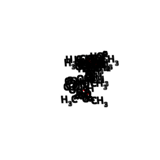 CC[C@@H](C)C([C@@H](CC(=O)N1CCC[C@@H]1[C@H](OC)[C@@H](C)C(=O)N[C@H](C)[C@@H](O)c1ccccc1)OC)N(C)C(=O)[C@@H](NC(=O)[C@@H](C(C)C)N(C)C(=O)OCc1ccc(NC(=O)[C@H](CCCNC(N)=O)NC(=O)[C@H](NC(=O)CC[C@@H](NC(=O)c2ccc(C(=O)C(CS(=O)(=O)c3ccc(C)cc3)CS(=O)(=O)c3ccc(C)cc3)cc2)C(=O)NCC2COCCOCCOCCOCCO2)C(C)C)cc1)C(C)C